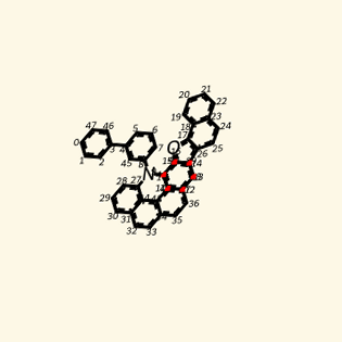 c1ccc(-c2cccc(N(c3cccc4c3oc3c5ccccc5ccc43)c3cccc4ccc5ccc6ccccc6c5c34)c2)cc1